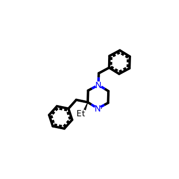 CC[C@@]1(Cc2ccccc2)CN(Cc2ccccc2)CC[N]1